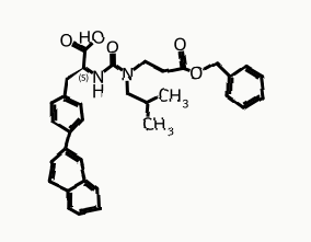 CC(C)CN(CCC(=O)OCc1ccccc1)C(=O)N[C@@H](Cc1ccc(-c2ccc3ccccc3c2)cc1)C(=O)O